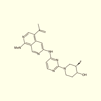 C=C(C)c1cnc(NC)c2cnc(Nc3ccnc(N4CCC(O)[C@H](F)C4)n3)cc12